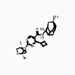 O=C(N[C@H]1C2CC3CC1C[C@@](O)(C3)C2)c1cnc(N2C[C@@H]3C[C@H]2CO3)nc1C1CCC1